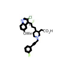 COc1ccc2ncc(Cl)c([C@H](F)CCC3CCN(CC#Cc4cccc(F)c4)CC3CC(=O)O)c2c1